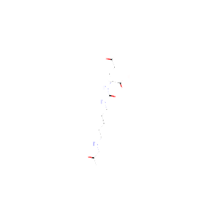 CC(=O)CNCCCCCNC(=O)N[C@@H](CCC(=O)O)C(=O)O